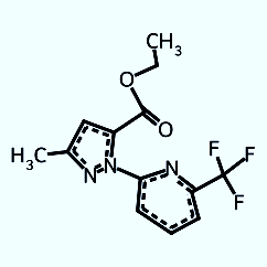 CCOC(=O)c1cc(C)nn1-c1cccc(C(F)(F)F)n1